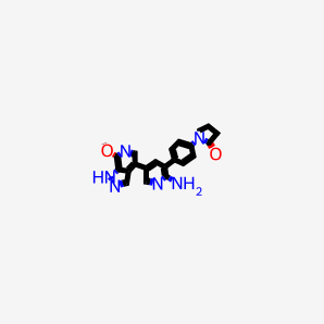 COc1ncc(-c2cnc(N)c(-c3ccc(N4CCCC4=O)cc3)c2)c2cn[nH]c12